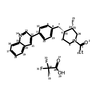 CCC(=O)N1CC[C@H](Cc2ccc(-c3cnc4ccccc4c3)cc2)[C@H](F)C1.O=C(O)C(F)(F)F